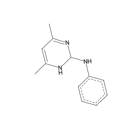 CC1=CC(C)=NC(Nc2ccccc2)N1